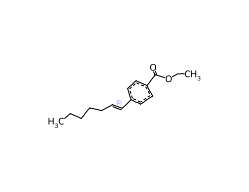 CCCCC/C=C/c1ccc(C(=O)OCC)cc1